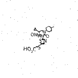 COC(CN(C(=O)Nc1ncc(SCC(=O)O)s1)[C@H]1CC[C@H](C)CC1)C1CC1